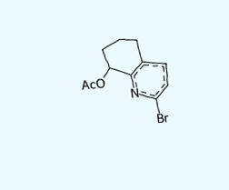 CC(=O)OC1CCCc2ccc(Br)nc21